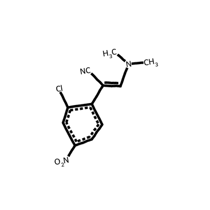 CN(C)/C=C(\C#N)c1ccc([N+](=O)[O-])cc1Cl